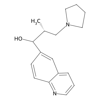 C[C@H](CN1CCCC1)C(O)c1ccc2ncccc2c1